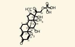 C[C@H]1CC2C3CCC4=CC(=O)C=CC4(C)[C@@]3(F)[C@@H](O)CC2(C)[C@@]1(O)C(=O)COP(=O)(O)O